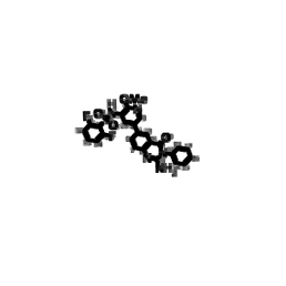 COc1ncc(-c2ccc3nc(N)n(-c4ccccc4)c(=O)c3c2)cc1NS(=O)(=O)c1c(F)cccc1F